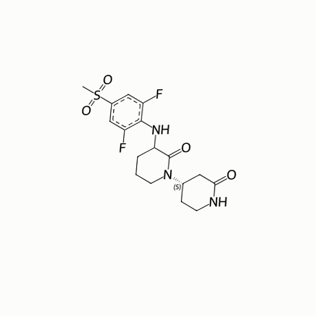 CS(=O)(=O)c1cc(F)c(NC2CCCN([C@H]3CCNC(=O)C3)C2=O)c(F)c1